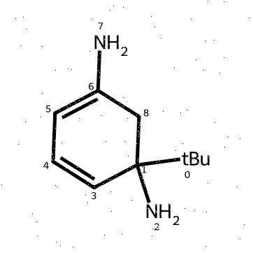 CC(C)(C)C1(N)C=CC=C(N)C1